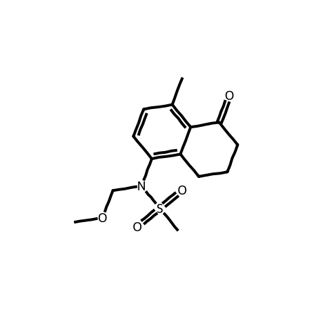 COCN(c1ccc(C)c2c1CCCC2=O)S(C)(=O)=O